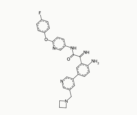 N=C(C(=O)Nc1ccc(Oc2ccc(F)cc2)nc1)c1cc(-c2cncc(CN3CCC3)c2)ccc1N